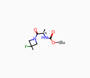 C[C@@H](NC(=O)OC(C)(C)C)C(=O)N1CC(C)(F)C1